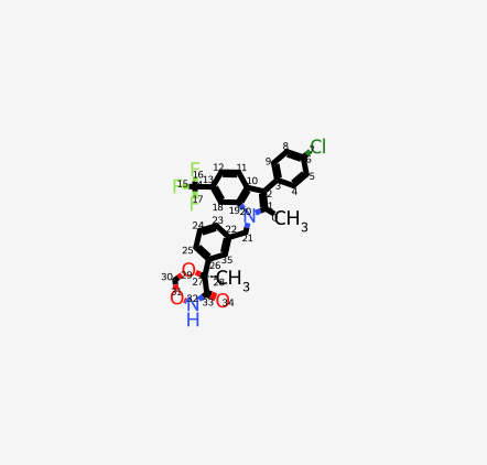 Cc1c(-c2ccc(Cl)cc2)c2ccc(C(F)(F)F)cc2n1Cc1cccc([C@]2(C)OCONC2=O)c1